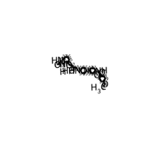 COc1ccc(S(=O)(=O)Nc2ccc(N3CCC(NC[C@H](O)COc4cccc5[nH]c(=O)[nH]c45)CC3)cc2)cc1